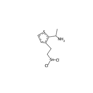 CC(N)c1sccc1C[CH2][Sn]([Cl])[Cl]